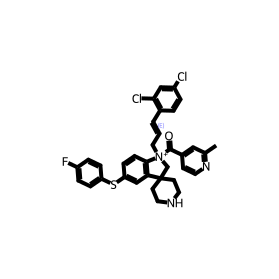 Cc1cc(C(=O)[N+]2(C/C=C/c3ccc(Cl)cc3Cl)CC3(CCNCC3)c3cc(Sc4ccc(F)cc4)ccc32)ccn1